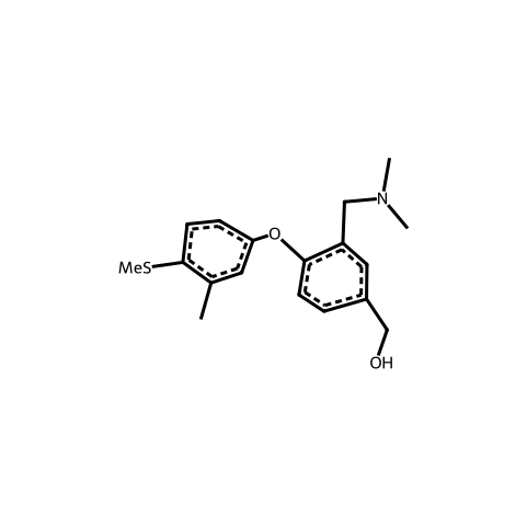 CSc1ccc(Oc2ccc(CO)cc2CN(C)C)cc1C